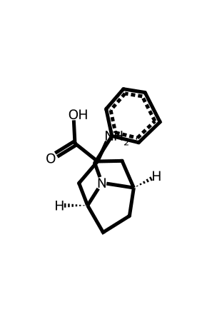 NC1(C(=O)O)C[C@H]2CC[C@@H](C1)N2Cc1ccccc1